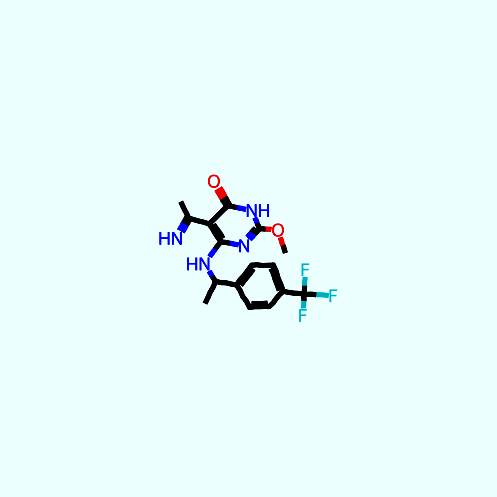 COc1nc(NC(C)c2ccc(C(F)(F)F)cc2)c(C(C)=N)c(=O)[nH]1